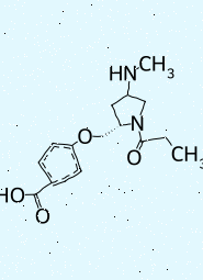 CCC(=O)N1CC(NC)C[C@H]1COc1ccc(C(=O)O)cc1